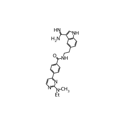 CCN(C)c1nccc(-c2ccc(C(=O)NCCc3ccc4[nH]cc(C(=N)N)c4c3)cc2)n1